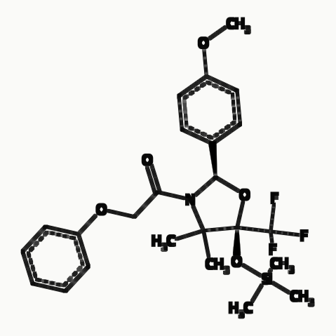 COc1ccc([C@H]2O[C@](O[Si](C)(C)C)(C(F)(F)F)C(C)(C)N2C(=O)COc2ccccc2)cc1